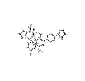 Cc1nc(-c2ccc(-c3ccn[nH]3)cc2)c2c(n1)[C@@]1(c3ccc(F)cc3)Cc3cnoc3[C@@H](C)[C@@H]1CC2